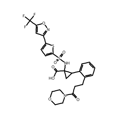 O=C(CCc1ccccc1C1CC1(NS(=O)(=O)c1ccc(-c2cc(C(F)(F)F)on2)s1)C(=O)O)N1CCOCC1